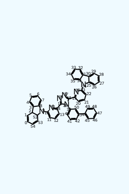 C1=CC2c3ccccc3N(c3cccc(-c4nnc(-c5cccc(-n6c7ccccc7c7ccccc76)n5)n4-c4cccc(-c5ccccc5)c4)n3)C2C=C1